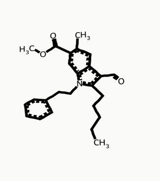 CCCCCc1c(C=O)c2cc(C)c(C(=O)OC)cc2n1CCc1ccccc1